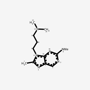 CNc1ncc2nc(C)n(CCCN(C)C)c2n1